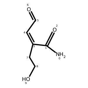 NC(=O)C(=C[C]=O)CCO